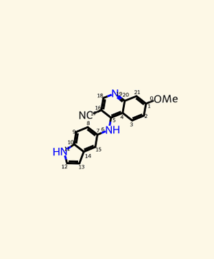 COc1ccc2c(Nc3ccc4[nH]ccc4c3)c(C#N)cnc2c1